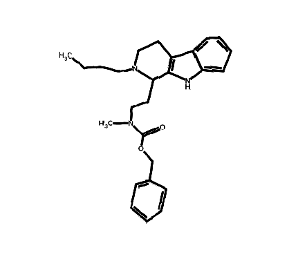 CCCCN1CCc2c([nH]c3ccccc23)C1CCN(C)C(=O)OCc1ccccc1